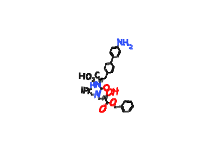 CC(C)CN(C[C@H](O)C(=O)OCc1ccccc1)C(=O)N[C@@H](Cc1ccc(-c2ccc(N)cc2)cc1)C(=O)O